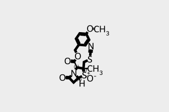 COc1ccc(COC(=O)[C@@H]2N3C(=O)C[C@H]3[S+]([O-])[C@@]2(C)CSC#N)cc1